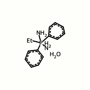 CCP(N)(N)(c1ccccc1)c1ccccc1.O